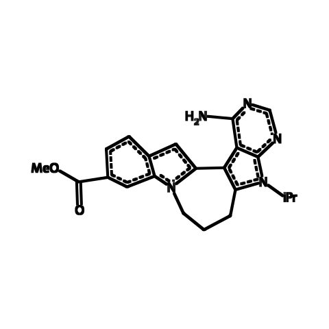 COC(=O)c1ccc2cc3n(c2c1)CCCc1c-3c2c(N)ncnc2n1C(C)C